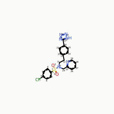 O=S(=O)(c1ccc(Cl)cc1)N(CCc1ccc(-c2nnn[nH]2)cc1)Cc1ccccn1